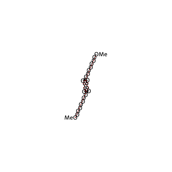 COCCOCCOCCOCCOCCOCCOCCOCCN1C(=O)c2ccc3c4ccc5c6c(ccc(c7ccc(c2c37)C1=O)c64)C(=O)N(CCOCCOCCOCCOCCOCCOCCOCCOC)C5=O